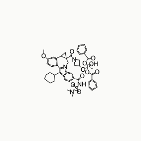 COc1ccc2c(c1)C1CC1(C(=O)N1CC(OP(C)(O)(OC(=O)c3ccccc3)OC(=O)c3ccccc3)C1)Cn1c-2c(C2CCCCC2)c2ccc(C(=O)NS(=O)(=O)N(C)C)cc21